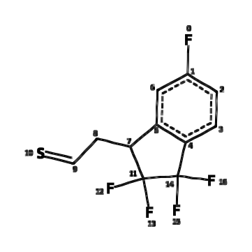 Fc1ccc2c(c1)C(CC=S)C(F)(F)C2(F)F